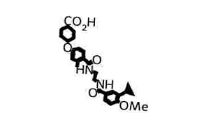 COc1ccc(C(=O)NCCNC(=O)c2ccc(O[C@H]3CC[C@@H](C(=O)O)CC3)cc2C)cc1C1CC1